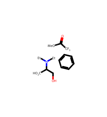 CCN(CC)C(CO)C(=O)O.COC(=O)C(F)(F)F.c1ccccc1